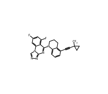 Fc1cc(F)c2c(N3CCCc4c(C#CC5(C(F)(F)F)CC5)cccc43)nc3nncn3c2c1